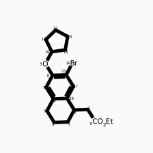 CCOC(=O)CC1CCCc2cc(OC3CCCC3)c(Br)cc21